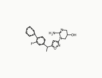 CC(c1ccc(-c2ccccc2)c(F)c1)c1cc(N2CC(O)CN=C2N)no1